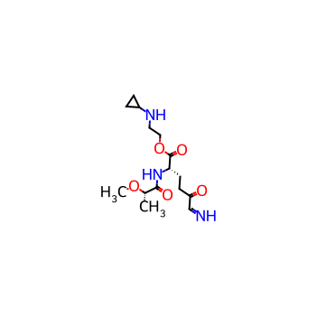 CO[C@@H](C)C(=O)N[C@@H](CCC(=O)C=N)C(=O)OCCNC1CC1